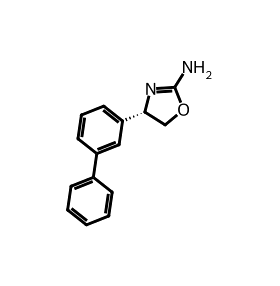 NC1=N[C@@H](c2cccc(-c3ccccc3)c2)CO1